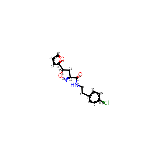 O=C(NCCc1ccc(Cl)cc1)C1=NOC(c2ccco2)C1